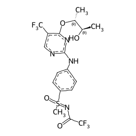 C[C@@H](O)[C@@H](C)Oc1nc(Nc2ccc(S(C)(=O)=NC(=O)C(F)(F)F)cc2)ncc1C(F)(F)F